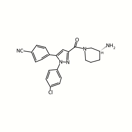 N#Cc1ccc(-c2cc(C(=O)N3CCC[C@@H](N)C3)nn2-c2ccc(Cl)cc2)cc1